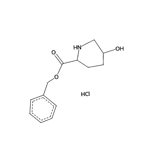 Cl.O=C(OCc1ccccc1)C1CCC(O)CN1